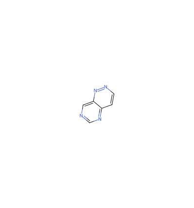 c1cc2ncncc2nn1